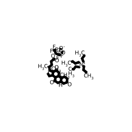 CCCC[N+](CCCC)(CCCC)CCCC.C[C@H](CCC(=O)OC(C(F)(F)F)C(F)(F)S(=O)(=O)[O-])[C@H]1CCC2C3C(=O)C[C@@H]4CC(=O)CC[C@]4(C)C3CC(=O)[C@@]21C